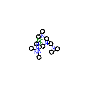 FC(F)(F)c1ccccc1-c1cc(-n2c3cc(-n4c5ccccc5c5ccccc54)ccc3c3ccc(-n4c5ccccc5c5ccccc54)cc32)ccc1C1N=C(c2ccccc2)N=C(c2ccccc2)N1